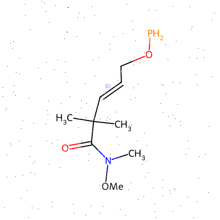 CON(C)C(=O)C(C)(C)/C=C/COP